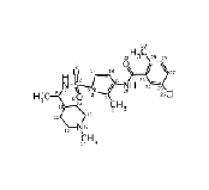 Cc1cc(S(=O)(=O)NC(C)C2CCN(C)CC2)ccc1NC(=O)c1cc(Cl)ccc1C